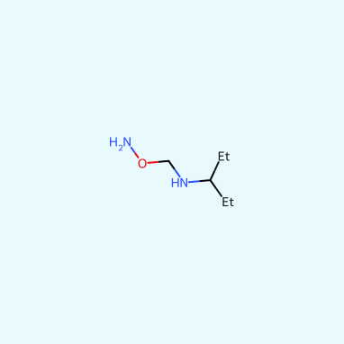 CCC(CC)NCON